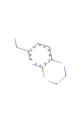 OCc1ccc2c(n1)OCCN2